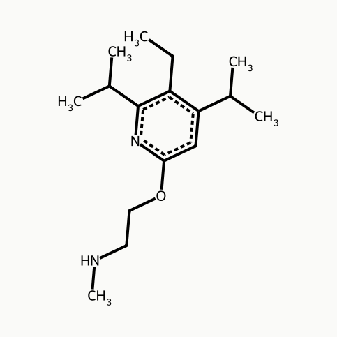 CCc1c(C(C)C)cc(OCCNC)nc1C(C)C